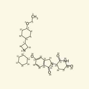 CCOC1CCC(C2CN([C@H]3CCCC[C@H]3Oc3ccc4c(c3)CN(C3CCC(=O)NC3=O)C4=O)C2)CC1